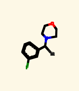 [CH2]CC(c1cccc(F)c1)N1CCOCC1